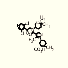 CC1(C)CCC(N(CC(=O)c2c(Cl)cncc2Cl)C(=O)c2cnn([C@H]3CC[C@](C)(C(=O)O)CC3)c2C(F)(F)F)CO1